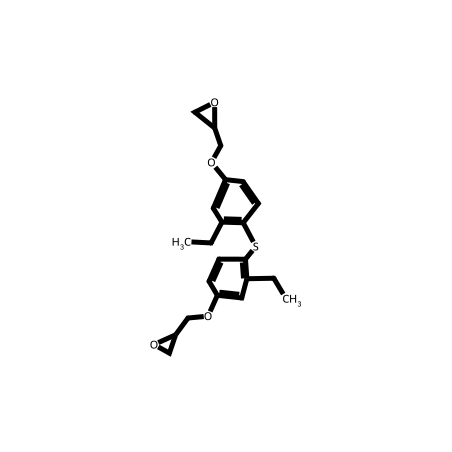 CCc1cc(OCC2CO2)ccc1Sc1ccc(OCC2CO2)cc1CC